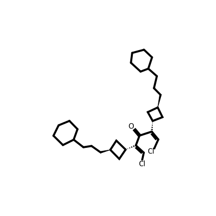 O=C(C(=CCl)[C@H]1C[C@H](CCCC2CCCCC2)C1)C(=CCl)[C@H]1C[C@H](CCCC2CCCCC2)C1